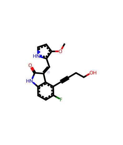 COc1cc[nH]c1/C=C1\C(=O)Nc2ccc(F)c(C#CCCO)c21